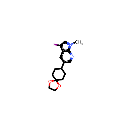 Cn1cc(I)c2cc(C3CCC4(CC3)OCCO4)cnc21